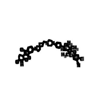 CC1(C)C(NC(=O)c2ccc(N3CCN(CC4CC5(CCN(c6ccc7c(c6)C(=O)N(C6CCC(=O)NC6=O)C7=O)C5)C4)CC3)cc2)C(C)(C)C1Oc1ccc(C#N)c(Cl)c1